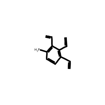 C=Cc1ccc(P)c(C=C)c1C=C